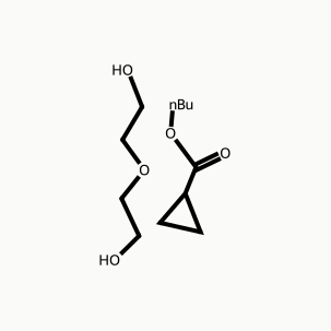 CCCCOC(=O)C1CC1.OCCOCCO